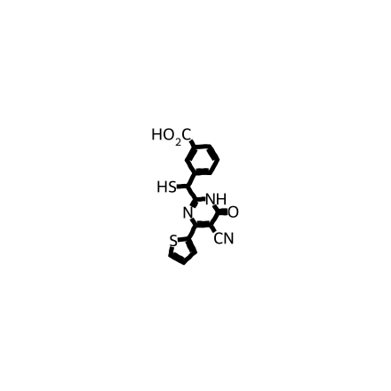 N#Cc1c(-c2cccs2)nc(C(S)c2cccc(C(=O)O)c2)[nH]c1=O